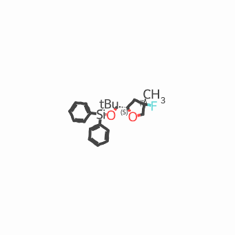 CC(C)(C)[Si](OC[C@@H]1C[C@@](C)(F)CO1)(c1ccccc1)c1ccccc1